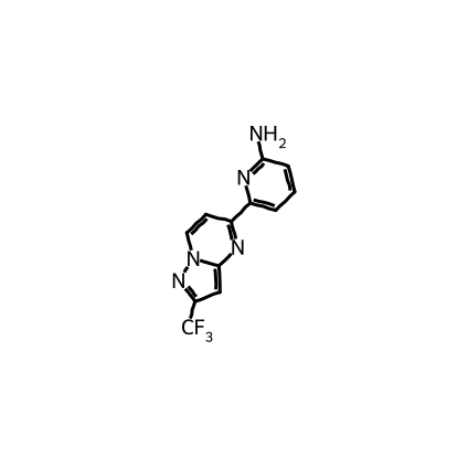 Nc1cccc(-c2ccn3nc(C(F)(F)F)cc3n2)n1